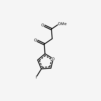 COC(=O)CC(=O)c1cc(I)co1